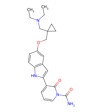 CCN(CC)CC1(COc2ccc3[nH]c(-c4c[c]cn(C(N)=O)c4=O)cc3c2)CC1